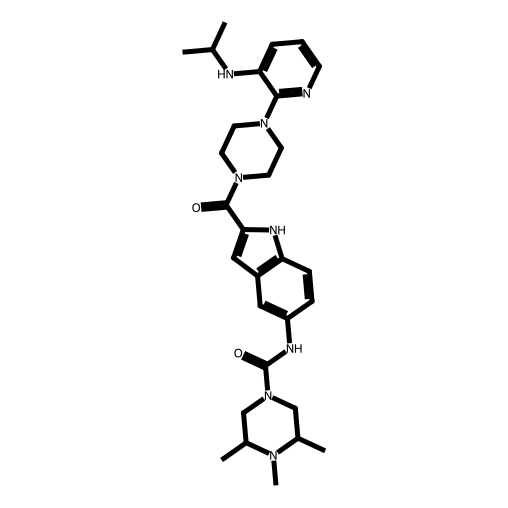 CC(C)Nc1cccnc1N1CCN(C(=O)c2cc3cc(NC(=O)N4CC(C)N(C)C(C)C4)ccc3[nH]2)CC1